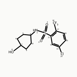 O=S(=O)(NC1CCC(O)CC1)c1cc(Cl)ccc1C(F)(F)F